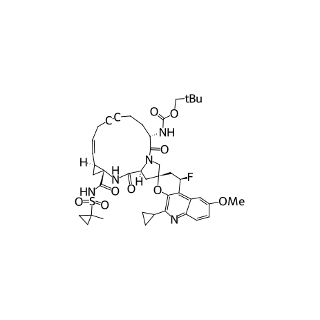 COc1ccc2nc(C3CC3)c3c(c2c1)[C@H](F)C[C@]1(C[C@H]2C(=O)N[C@]4(C(=O)NS(=O)(=O)C5(C)CC5)C[C@H]4/C=C\CCCCC[C@H](NC(=O)OCC(C)(C)C)C(=O)N2C1)O3